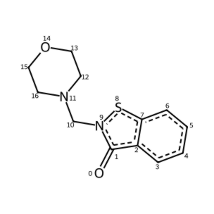 O=c1c2ccccc2sn1CN1CCOCC1